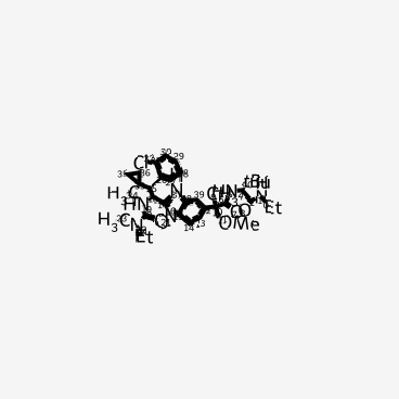 CCNC(=O)[C@H](NC(=O)C(C)(COC)c1ccc2nc([C@@H](NC(=O)N(C)CC)[C@H](c3ccccc3Cl)C3(C)CC3)[nH]c2c1)C(C)(C)C